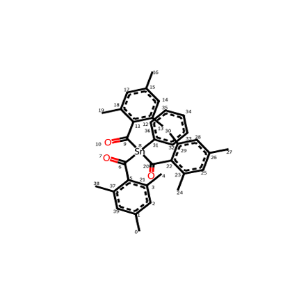 Cc1cc(C)c([C](=O)[Sn]([C](=O)c2c(C)cc(C)cc2C)([C](=O)c2c(C)cc(C)cc2C)[c]2ccccc2)c(C)c1